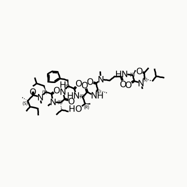 CCC(C)[C@H](C)C(=O)N(C)[C@@H](CC(C)C)C(=O)N(C)[C@H](C(=O)N[C@@H](Cc1ccccc1)C(=O)N[C@H](C(=O)N[C@@H](C)C(=O)N(C)CCC(=O)N[C@@H](C)C(=O)N(C)[C@@H](CC(C)C)C(C)=O)[C@@H](C)O)C(C)C